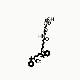 CC[N+]1=C(/C=C/C=C2/N(CCCCCC(=O)NCCOCCOP(C)(=O)O)c3ccccc3C2(C)C)C(C)(C)c2ccccc21